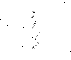 C=C/C=C/CCCCCCC